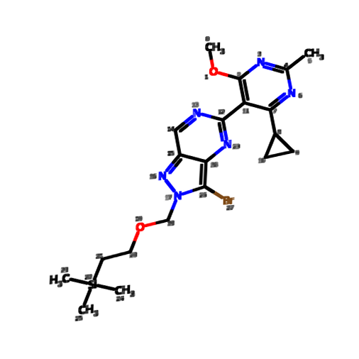 COc1nc(C)nc(C2CC2)c1-c1ncc2nn(COCC[Si](C)(C)C)c(Br)c2n1